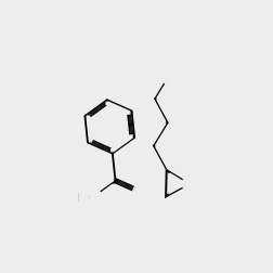 O=C(O)c1ccccc1.OCCCC1CO1